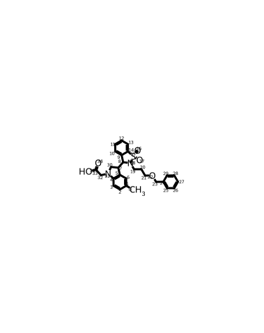 Cc1ccc2c(c1)C(C1c3ccccc3S(=O)(=O)N1CCCOCc1ccccc1)CN2CC(=O)O